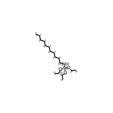 CCCCCCCCCCCN[Si](OCC)(OCC)OCC